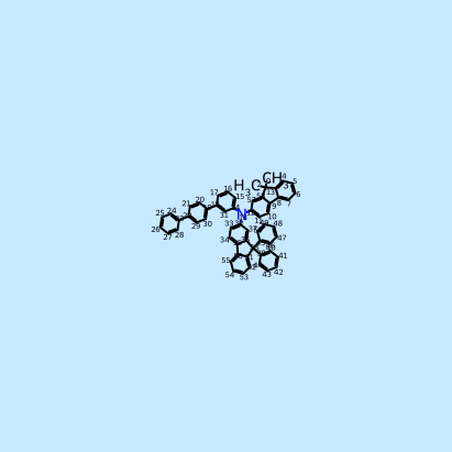 CC1(C)c2ccccc2-c2ccc(N(c3cccc(-c4ccc(-c5ccccc5)cc4)c3)c3ccc4c(c3)C(c3ccccc3)(c3ccccc3)c3ccccc3-4)cc21